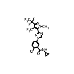 Cn1nc(C(F)(F)C(F)(F)F)c(C(F)(F)F)c1-c1ncn(-c2ccc(Cl)c(C(=O)NC3CC3)c2)n1